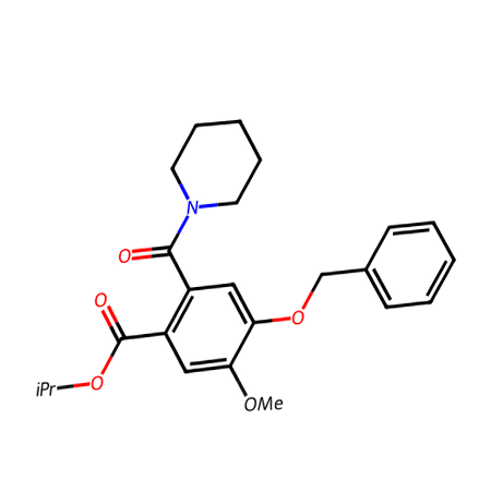 COc1cc(C(=O)OC(C)C)c(C(=O)N2CCCCC2)cc1OCc1ccccc1